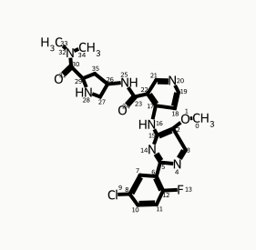 COc1cnc(-c2cc(Cl)ccc2F)nc1Nc1ccncc1C(=O)NC1CNC(C(=O)N(C)C)C1